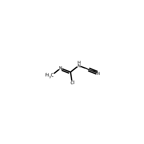 C/N=C(\Cl)NC#N